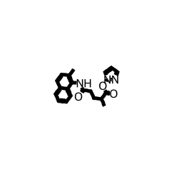 Cc1ccc2ccccc2c1NC(=O)CCC(C)C(=O)On1cccn1